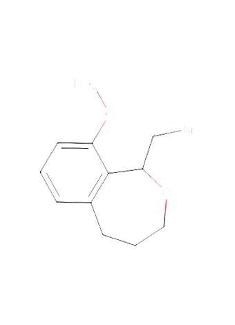 COc1cccc2c1C(CBr)OCCC2